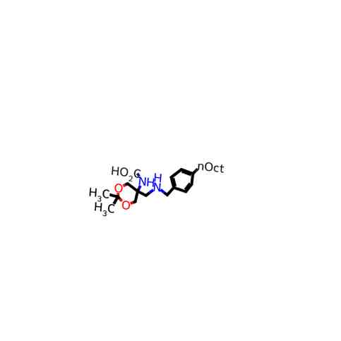 CCCCCCCCc1ccc(CNCC2(NC(=O)O)COC(C)(C)OC2)cc1